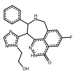 O=c1[nH]nc2c3c(cc(F)cc13)CNC(c1ccccc1)C2c1ncnn1CCO